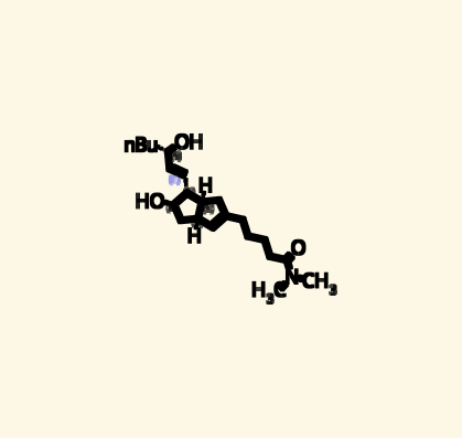 CCCC[C@H](O)/C=C/[C@@H]1[C@H]2CC(CCCCC(=O)N(C)C)=C[C@H]2C[C@H]1O